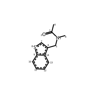 CC(=O)N(C)Cc1csc2ccccc12